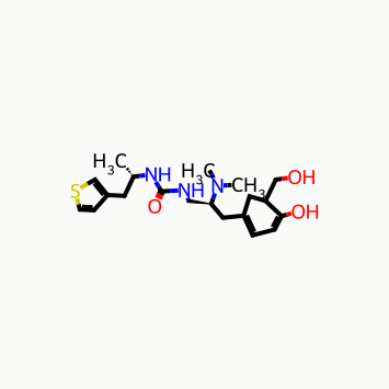 C[C@@H](Cc1ccsc1)NC(=O)NC[C@H](CC1=CC=C(O)C(CO)C1)N(C)C